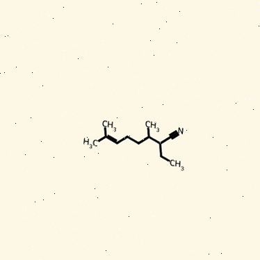 CCC(C#N)C(C)CCC=C(C)C